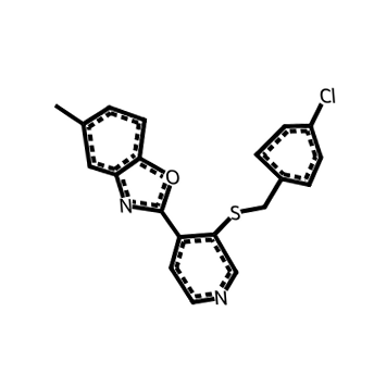 Cc1ccc2oc(-c3ccncc3SCc3ccc(Cl)cc3)nc2c1